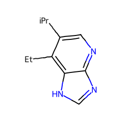 CCc1c(C(C)C)cnc2nc[nH]c12